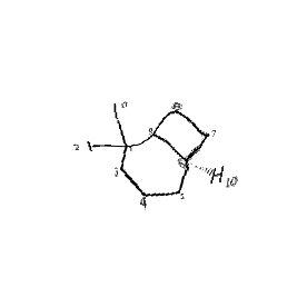 IC1(I)CCC[C@@H]2CCC21